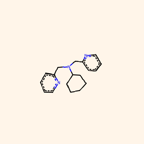 c1ccc(CN(Cc2ccccn2)C2CCCCC2)nc1